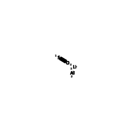 O=S.[Al].[Li]